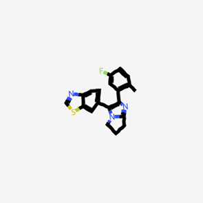 Cc1ccc(F)cc1-c1nc2n(c1-c1ccc3ncsc3c1)CCC2